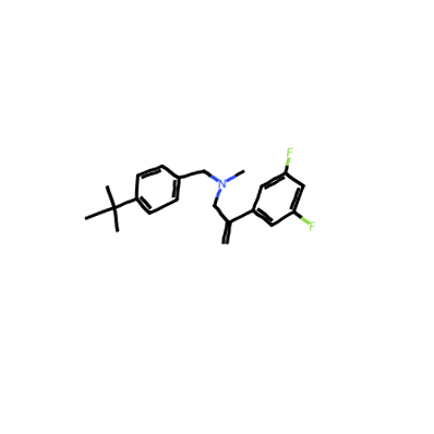 C=C(CN(C)Cc1ccc(C(C)(C)C)cc1)c1cc(F)cc(F)c1